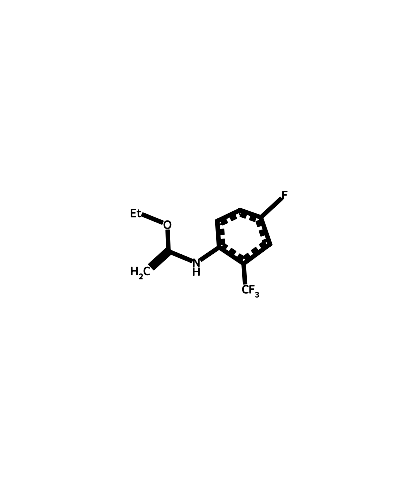 C=C(Nc1ccc(F)cc1C(F)(F)F)OCC